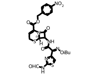 CC(C)CON=C(C(=O)NC1C(=O)N2C(C(=O)OCc3ccc([N+](=O)[O-])cc3)=CCS[C@@H]12)c1csc(NC=O)n1